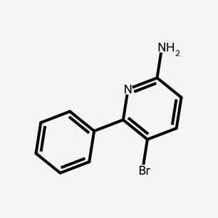 Nc1ccc(Br)c(-c2ccccc2)n1